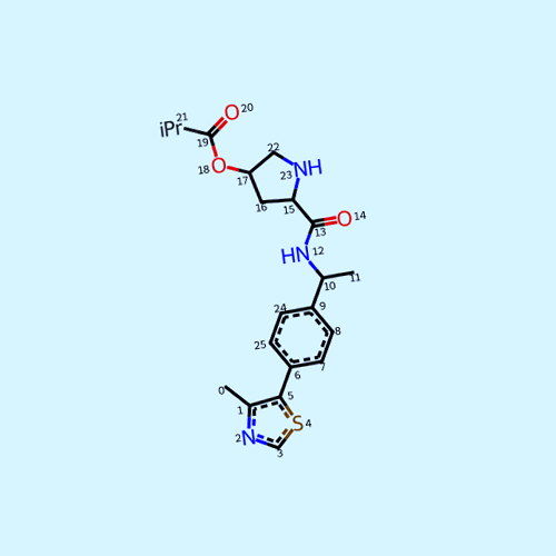 Cc1ncsc1-c1ccc(C(C)NC(=O)C2CC(OC(=O)C(C)C)CN2)cc1